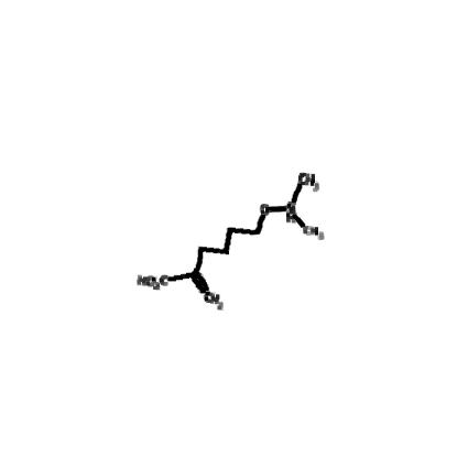 C=C(CCCCO[SiH](C)C)C(=O)O